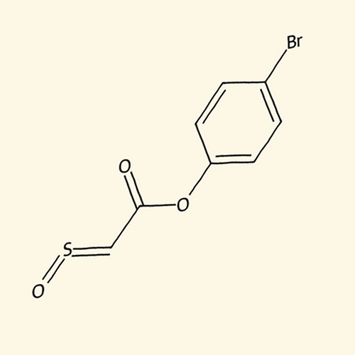 O=S=CC(=O)Oc1ccc(Br)cc1